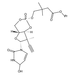 C#C[C@]1(C)[C@@H]2O[P@@](=O)(OCC(C)(C)CC(=O)OC(C)C)OC[C@H]2O[C@H]1N1C=CC(O)NC1=O